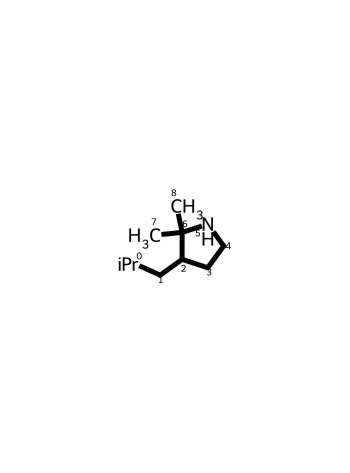 CC(C)CC1CCNC1(C)C